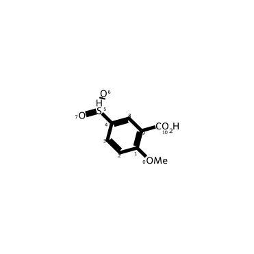 COc1ccc([SH](=O)=O)cc1C(=O)O